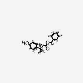 O=C(NC1(c2ccc(O)cc2)CC1)OCc1ccccc1